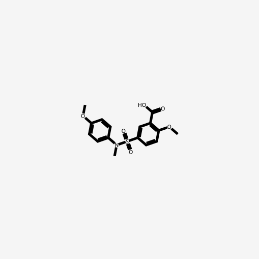 COc1ccc(N(C)S(=O)(=O)c2ccc(OC)c(C(=O)O)c2)cc1